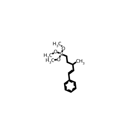 CO[Si](CCC(C)/C=C/c1ccccc1)(OC)OC